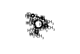 CC[C@H]1OC(=O)[C@H](C)[C@@H](O[C@H]2C[C@@](C)(OC)[C@@H](O)[C@H](C)O2)[C@H](C)[C@@H](O[C@@H]2O[C@H](C)C[C@H](N(C)CCc3cn(CCCOc4ccc(S(=O)(=O)C(F)(F)F)cc4)nn3)[C@H]2O)[C@](C)(O)C[C@@H](C)CN(C)[C@H](C)[C@@H](O)[C@]1(C)O